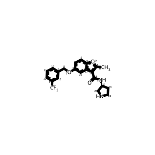 Cc1oc2ccc(OCc3cccc(C(F)(F)F)c3)cc2c1C(=O)N[C@H]1CCNC1